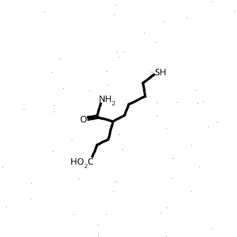 NC(=O)C(CCCCS)CCC(=O)O